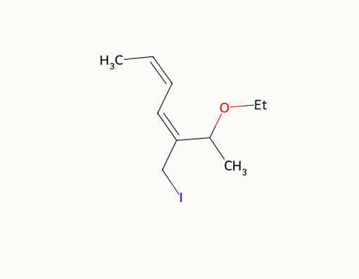 C/C=C\C=C(\CI)C(C)OCC